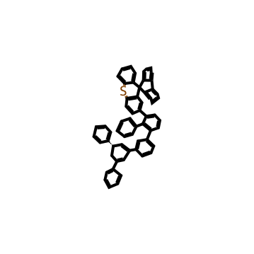 C1=C(c2cccc(-c3cccc(-c4ccc5c(c4)C4(c6ccccc6S5)c5ccccc5-c5ccccc54)c3-c3ccccc3)c2)C=C(c2ccccc2)C[C@@H]1c1ccccc1